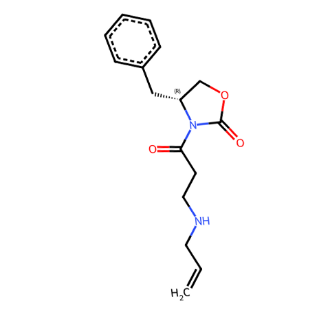 C=CCNCCC(=O)N1C(=O)OC[C@H]1Cc1ccccc1